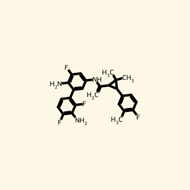 C=C(Nc1cc(F)c(N)c(-c2ccc(F)c(N)c2F)c1)C1C(c2ccc(F)c(C)c2)C1(C)C